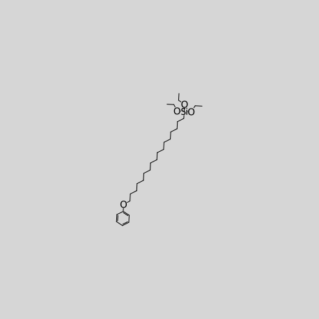 CCO[Si](CCCCCCCCCCCCCCCCCOc1ccccc1)(OCC)OCC